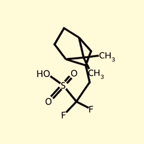 CC1(C)C2CCC1C(CC(F)(F)S(=O)(=O)O)C2